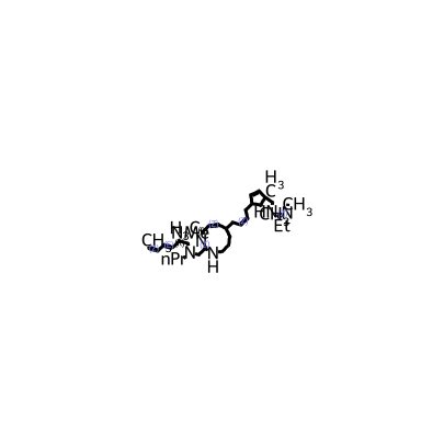 C/C=C\C=C\[C@H](CN(CCC)C/C1=N/[C@H](C)/C=C\C(C/C=C\CC2C=CC(C)(CN/C(CC)=N\C)C2C)CCCN1)NC